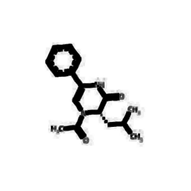 CC(=O)N1C=C(c2ccccc2)NC(=O)[C@@H]1CC(C)C